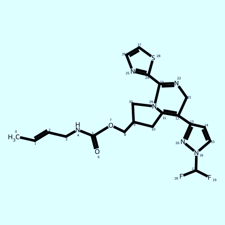 C/C=C/CNC(=O)OCC1CC2=C(c3ccn(C(F)F)n3)CN=C(c3nccs3)N2C1